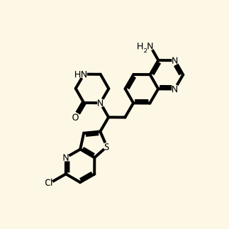 Nc1ncnc2cc(CC(c3cc4nc(Cl)ccc4s3)N3CCNCC3=O)ccc12